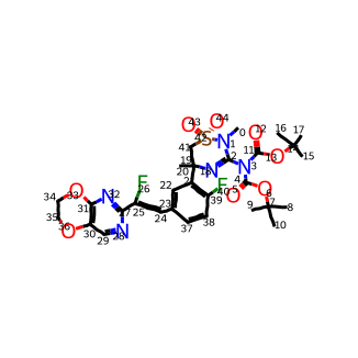 CN1C(N(C(=O)OC(C)(C)C)C(=O)OC(C)(C)C)=NC(C)(c2cc(C=C(F)c3ncc4c(n3)OCCO4)ccc2F)CS1(=O)=O